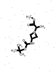 COC(=O)C(C)N1CC(NC(=O)OC(C)(C)C)C1